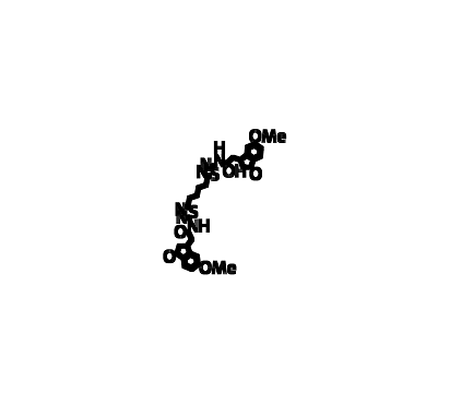 COc1ccc2c(c1)C(CC(=O)Nc1nnc(CCCCc3nnc(NC(O)CC4CC(=O)c5ccc(OC)cc54)s3)s1)CC2=O